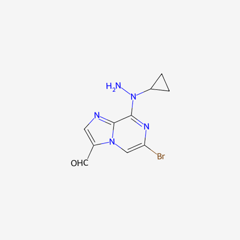 NN(c1nc(Br)cn2c(C=O)cnc12)C1CC1